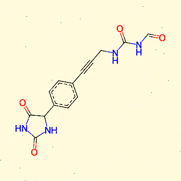 O=CNC(=O)NCC#Cc1ccc(C2NC(=O)NC2=O)cc1